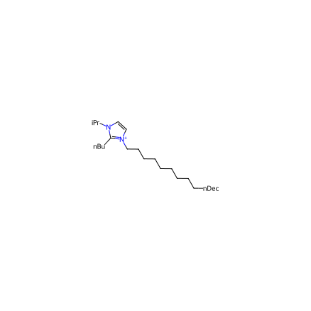 CCCCCCCCCCCCCCCCCCC[n+]1ccn(C(C)C)c1CCCC